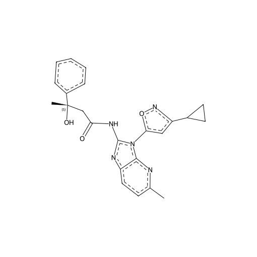 Cc1ccc2nc(NC(=O)C[C@](C)(O)c3ccccc3)n(-c3cc(C4CC4)no3)c2n1